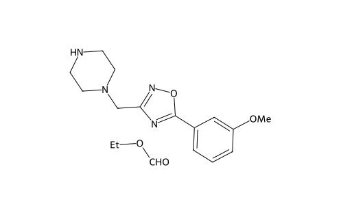 CCOC=O.COc1cccc(-c2nc(CN3CCNCC3)no2)c1